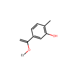 C=C(OCC)c1ccc(C)c(O)c1